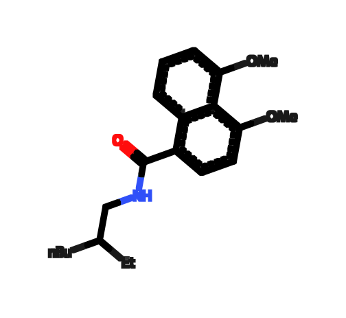 CCCCC(CC)CNC(=O)c1ccc(OC)c2c(OC)cccc12